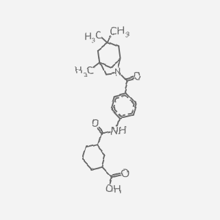 CC1(C)CC2CC(C)(CN2C(=O)c2ccc(NC(=O)C3CCCC(C(=O)O)C3)cc2)C1